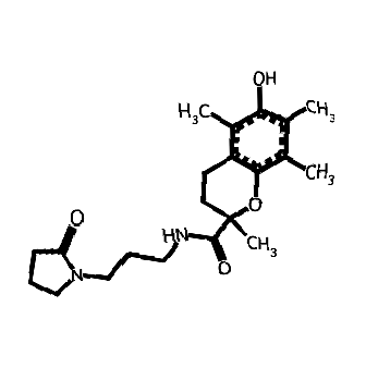 Cc1c(C)c2c(c(C)c1O)CCC(C)(C(=O)NCCCN1CCCC1=O)O2